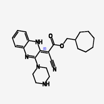 N#C/C(C(=O)OCC1CCCCCC1)=C1/Nc2ccccc2N=C1N1CCNCC1